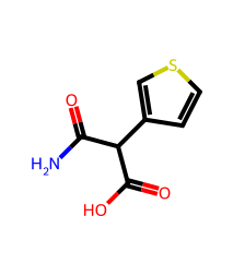 NC(=O)C(C(=O)O)c1ccsc1